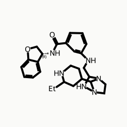 CCC1CC(C2N3CCN2C(CNc2cccc(C(=O)N[C@H]4COc5ccccc54)c2)N3)CCN1